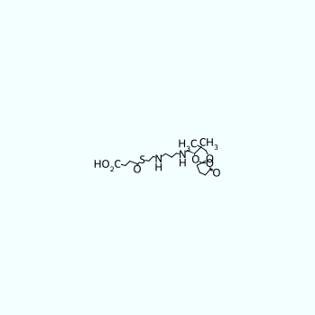 CC1(C)COC2(CCCC(=O)O2)O[C@H]1CNCCCNCCSC(=O)CCC(=O)O